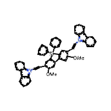 COc1cc2c(cc1C#Cn1c3ccccc3c3ccccc31)[Si](c1ccccc1)(c1ccccc1)c1cc(C#Cn3c4ccccc4c4ccccc43)c(OC)cc1-2